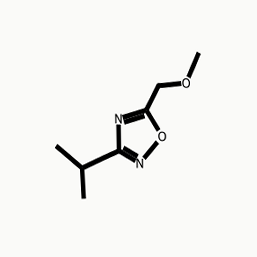 COCc1nc(C(C)C)no1